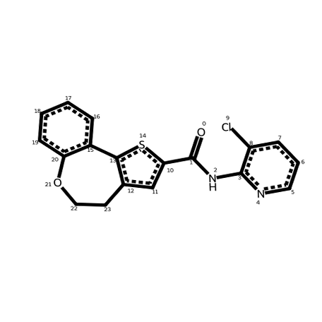 O=C(Nc1ncccc1Cl)c1cc2c(s1)-c1ccccc1OCC2